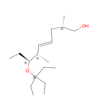 CC[C@H](O[Si](CC)(CC)CC)[C@@H](C)C=CC[C@H](C)CO